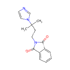 CC(C)(CCN1C(=O)c2ccccc2C1=O)n1ccnc1